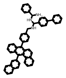 NC(NC(NCc1ccc(-c2c3ccccc3c(-c3ccc4ccccc4c3)c3c2ccc2ccccc23)cc1)c1ccc(-c2ccccc2)cc1)c1ccccc1